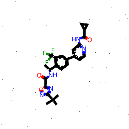 CC(NC(=O)c1nc(C(C)(C)C)no1)c1ccc(-c2ccnc(NC(=O)C3CC3)c2)cc1C(F)(F)F